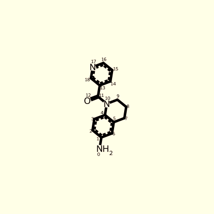 Nc1ccc2c(c1)CCCN2C(=O)c1cccnc1